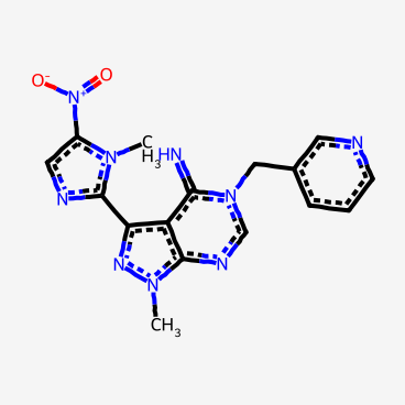 Cn1c([N+](=O)[O-])cnc1-c1nn(C)c2ncn(Cc3cccnc3)c(=N)c12